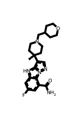 CC1(c2cnn3c2[nH]c2cc(F)cc(C(N)=O)c23)CCN(CC2CCOCC2)CC1